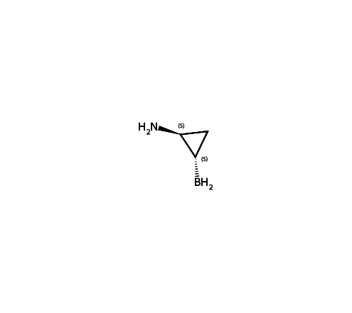 B[C@H]1C[C@@H]1N